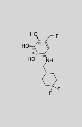 O[C@@H]1[C@@H](O)[C@@H](O)C(CF)=C[C@H]1NCC1CCC(F)(F)CC1